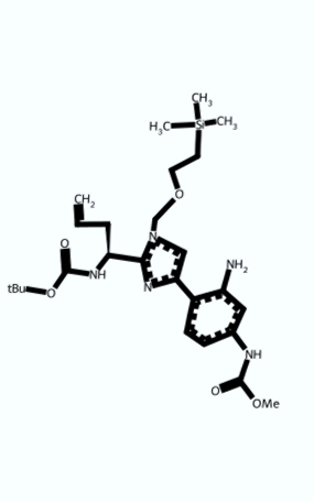 C=CC[C@H](NC(=O)OC(C)(C)C)c1nc(-c2ccc(NC(=O)OC)cc2N)cn1COCC[Si](C)(C)C